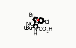 CC(C)(C)[C@@H]1N[C@@H](C(=O)O)[C@H](c2cccc(Cl)c2)[C@@]1(C#N)c1cc(Br)cs1